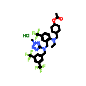 CCN(CC1CCC(OC(C)=O)CC1)c1ccc(C(F)(F)F)cc1CN(Cc1cc(C(F)(F)F)cc(C(F)(F)F)c1)c1nnn(C)n1.Cl